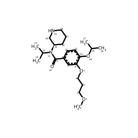 COCCCOc1cc(C(=O)N(C(C)C)[C@@H]2CCCNC2)ccc1OC(C)C